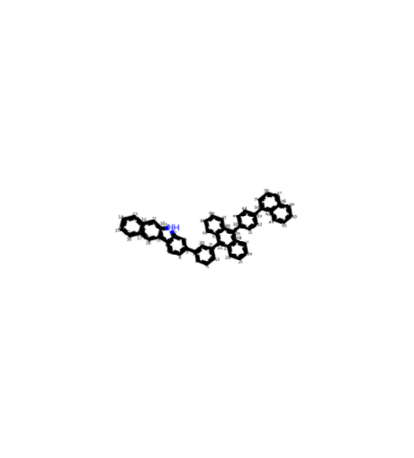 c1cc(-c2ccc3c(c2)[nH]c2cc4ccccc4cc23)cc(-c2c3ccccc3c(-c3ccc(-c4cccc5ccccc45)cc3)c3ccccc23)c1